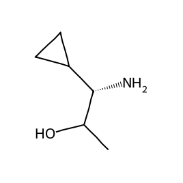 CC(O)[C@@H](N)C1CC1